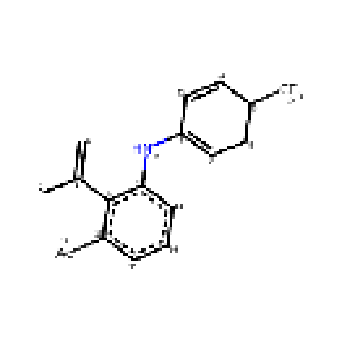 C=C(C)c1c(NC2=CCC(C(F)(F)F)C=C2)cccc1C(C)=O